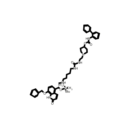 CC(C)(C)[Si](C)(C)O[C@@H](CNCCCCCNC(=O)NCCN1CCC(OC(=O)Nc2ccccc2-c2ccccc2)CC1)c1ccc(OCc2ccccc2)c2[nH]c(=O)ccc12